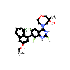 COCOc1cc(-c2c(F)cc3c(N4CCOCC(C)(O)C4)nc(F)nc3c2F)c2c(Cl)cccc2c1